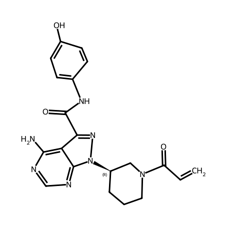 C=CC(=O)N1CCC[C@@H](n2nc(C(=O)Nc3ccc(O)cc3)c3c(N)ncnc32)C1